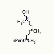 CCCCC[C@@H](C)CCC[C@@H](C)CCC/C(C)=C/CO